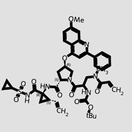 C=CC(=O)N(C)CC(NC(=O)OC(C)(C)C)C(=O)N1C[C@H](Oc2cc(-c3ccccc3)nc3cc(OC)ccc23)C[C@H]1C(=O)N[C@]1(C(=O)NS(=O)(=O)C2CC2)C[C@H]1C=C